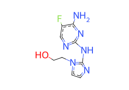 Nc1nc(Nc2nccn2CCO)ncc1F